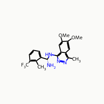 COc1cc2c(C)nnc(N[C@H](N)c3cccc(C(F)(F)F)c3C)c2cc1OC